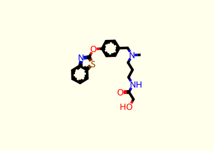 CN(CCCNC(=O)CO)Cc1ccc(Oc2nc3ccccc3s2)cc1